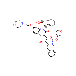 CN(C(=O)OC1CCOC1)C(Cc1ccccc1)C(O)CC(Cc1ccc(OCCN2CCOCC2)cc1)C(=O)N[C@H]1c2ccccc2C[C@@H]1O